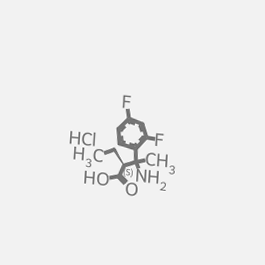 CC[C@H](C(=O)O)C(C)(N)c1ccc(F)cc1F.Cl